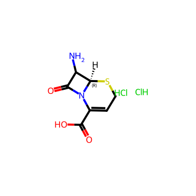 Cl.Cl.NC1C(=O)N2C(C(=O)O)=CCS[C@H]12